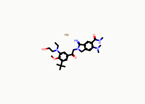 Br.CCN(CCO)c1cc(C(=O)CN2Cc3cc(N(C)C)c(C(=O)NC)cc3C2=N)cc(C(C)(C)C)c1OC